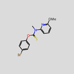 COc1cccc(N(C)C(=S)Oc2ccc(Br)cc2)n1